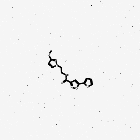 COc1ccn(CCNC(=O)c2cc(-c3ccco3)on2)n1